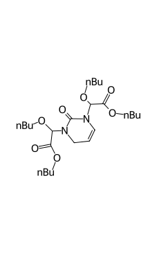 CCCCOC(=O)C(OCCCC)N1C=CCN(C(OCCCC)C(=O)OCCCC)C1=O